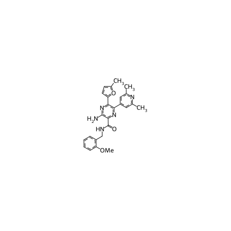 COc1ccccc1CNC(=O)c1nc(-c2cc(C)nc(C)c2)c(-c2ccc(C)o2)nc1N